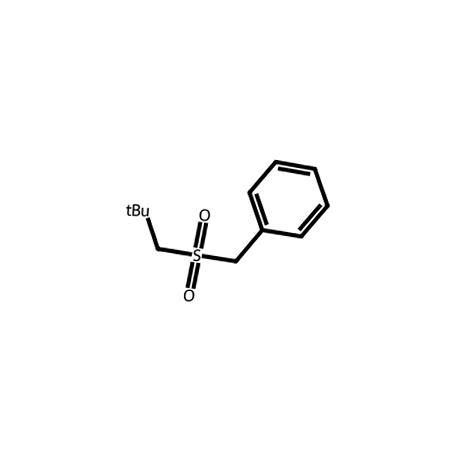 CC(C)(C)CS(=O)(=O)Cc1ccccc1